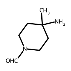 CC1(N)CCN(C=O)CC1